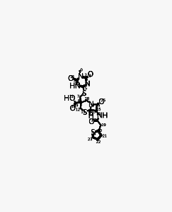 Cn1c(=O)nc(SCC2(C(=O)O)CS[C@@H]3[C@H](NC(=O)Cc4cccs4)C(=O)N3C2)[nH]c1=O